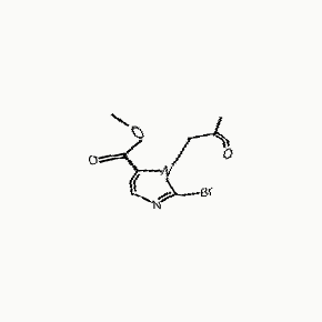 COC(=O)c1cnc(Br)n1CC(C)=O